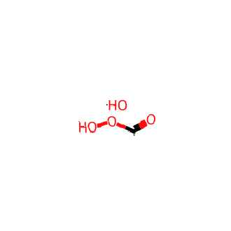 O=[C]OO.[OH]